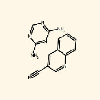 N#Cc1cnc2ccccc2c1.Nc1ncnc(N)n1